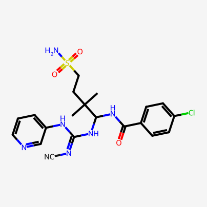 CC(C)(CCS(N)(=O)=O)C(NC(=O)c1ccc(Cl)cc1)NC(=NC#N)Nc1cccnc1